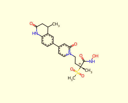 CC1CC(=O)Nc2ccc(-c3ccn(CC[C@](C)(C(=O)NO)S(C)(=O)=O)c(=O)c3)cc21